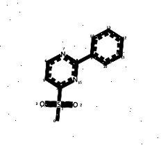 CS(=O)(=O)c1ccnc(-c2ccccc2)n1